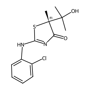 CC(C)(O)[C@@]1(C)SC(Nc2ccccc2Cl)=NC1=O